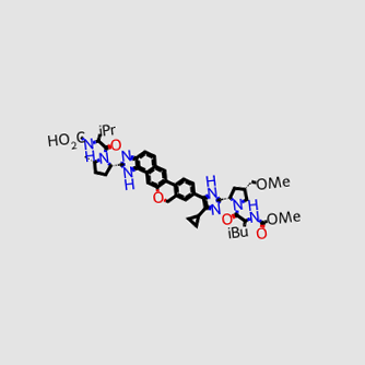 CCC(C)C(NC(=O)OC)C(=O)N1C[C@@H](COC)C[C@H]1c1nc(C2CC2)c(-c2ccc3c(c2)COc2cc4c(ccc5nc([C@@H]6CC[C@H](C)N6C(=O)C(NC(=O)O)C(C)C)[nH]c54)cc2-3)[nH]1